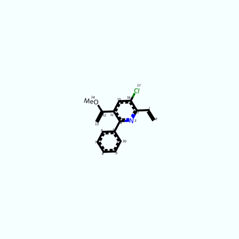 C=Cc1nc(-c2ccccc2)c(C(=C)OC)cc1Cl